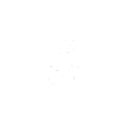 CCN(C(=O)c1cc(F)ccc1-n1cc(C(=O)C2CCN(C(=O)[C@H]3N[C@H]4C[C@@H]3[C@@H](F)C4)CC2)c2ccncc21)C(C)C